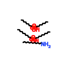 CCCCCCCCCCCCN.CCCCCCCCCCOP(=O)(O)OCCCCCCCCCC.CCCCCCCCOP(=O)(O)OCCCCCCCC